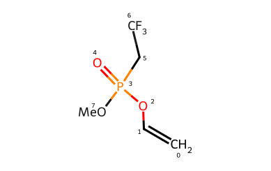 C=COP(=O)(CC(F)(F)F)OC